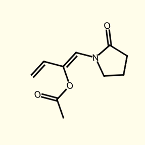 C=CC(=CN1CCCC1=O)OC(C)=O